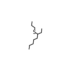 CCCCCC(CC)SCCC